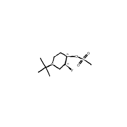 CC(C)(C)N1CC[C@@H](OS(C)(=O)=O)[C@@H](F)C1